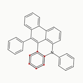 c1ccc(-c2c(-c3ccccc3)c3c(N(c4ccccc4)c4ccccc4)cccc3c3ccccc23)cc1